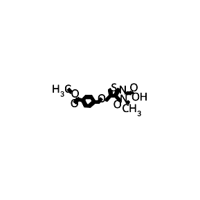 CCOC(=O)c1ccc(COCc2csc3nc(C(=O)O)n(CC)c(=O)c23)cc1